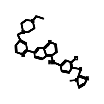 CCN1CCN(Cc2ccnc(-c3ccc4c(Nc5ccc(Sc6nccn6C)c(Cl)c5)ccnc4c3)c2)CC1